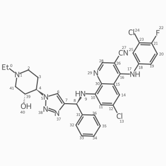 CCN1CC[C@@H](n2cc([C@@H](Nc3cc(Cl)cc4c(Nc5ccc(F)c(Cl)c5)c(C#N)cnc34)c3ccccc3)nn2)[C@H](O)C1